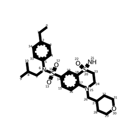 CCc1ccc(N(CC(C)C)S(=O)(=O)c2ccc3c(c2)S(=N)(=O)CCN3CC2CCOCC2)cc1